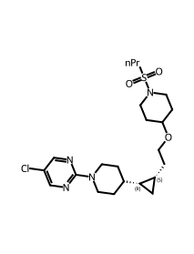 CCCS(=O)(=O)N1CCC(OCC[C@@H]2C[C@@H]2C2CCN(c3ncc(Cl)cn3)CC2)CC1